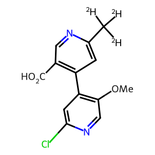 [2H]C([2H])([2H])c1cc(-c2cc(Cl)ncc2OC)c(C(=O)O)cn1